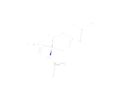 CC(=O)N[C@@]1([As](=O)(O)OO)C=CC=CC1.CC(O)CCl